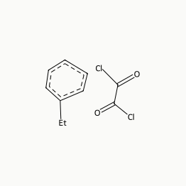 CCc1ccccc1.O=C(Cl)C(=O)Cl